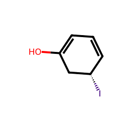 OC1=CC=C[C@H](I)C1